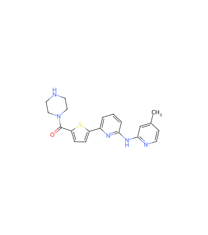 Cc1ccnc(Nc2cccc(-c3ccc(C(=O)N4CCNCC4)s3)n2)c1